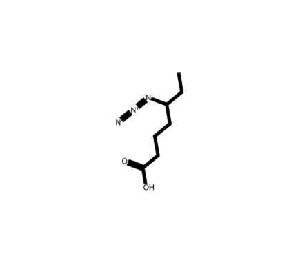 CCC(CCCC(=O)O)N=[N+]=[N-]